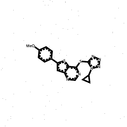 COc1ccc(-c2cc3ncnc(Sc4nnnn4C4CC4)c3s2)cc1